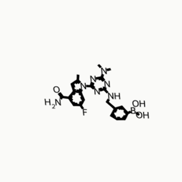 Cc1cc2c(C(N)=O)cc(F)cc2n1-c1nc(NCc2cccc(B(O)O)c2)nc(N(C)C)n1